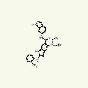 CC(C)CN(CC(C)C)c1cc2nc(Nc3ccccc3C(F)(F)F)[nH]c2cc1C(=O)Nc1ccc2cn[nH]c2c1